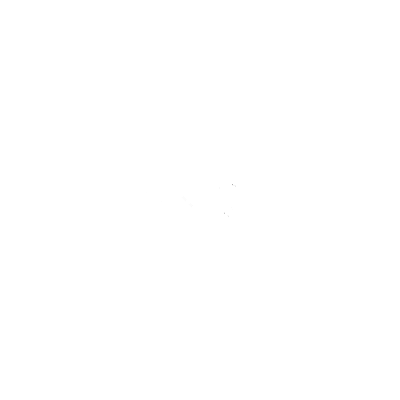 Clc1nc2ccc(C3CCC3)cc2[nH]1